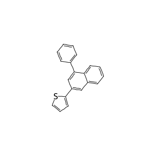 c1ccc(-c2cc(-c3cccs3)cc3ccccc23)cc1